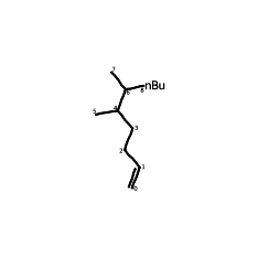 C=CCCC(C)C(C)CCCC